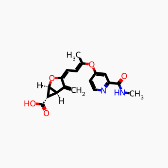 C=C1/C(=C\C=C(/C)Oc2ccnc(C(=O)NC)c2)O[C@H]2[C@@H]1[C@@H]2C(=O)O